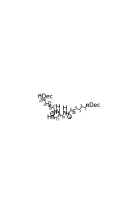 CCCCCCCCCCCCCCSCC(=O)NCC(CS)NC(=O)CSCCCCCCCCCCCCCC